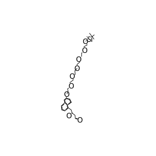 CC(C)(C)[Si](C)(C)OCCOCCOCCOCCOCCOCCOc1ccc2c(CC(=O)CC=O)cccc2c1